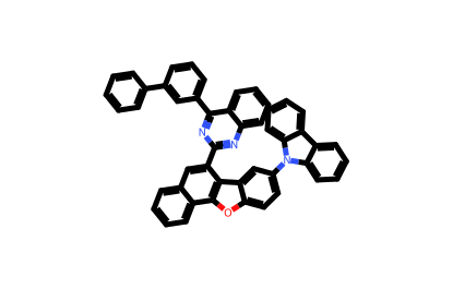 c1ccc(-c2cccc(-c3nc(-c4cc5ccccc5c5oc6ccc(-n7c8ccccc8c8ccccc87)cc6c45)nc4ccccc34)c2)cc1